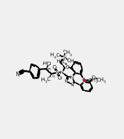 COc1cccc(-c2nnc(N(CC[Si](C)(C)C)S(=O)(=O)[C@@H](C)[C@H](O)c3ccc(C#N)cc3)n2-c2c(OC)cccc2OC)n1